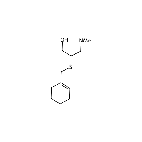 CNCC(CO)SCC1=CCCCC1